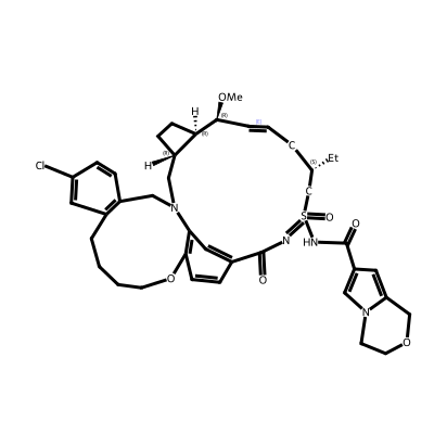 CC[C@H]1C/C=C/[C@H](OC)[C@@H]2CC[C@H]2CN2Cc3ccc(Cl)cc3CCCCOc3ccc(cc32)C(=O)N=S(=O)(NC(=O)c2cc3n(c2)CCOC3)C1